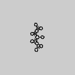 C1=CCC(n2c3ccccc3c3cc4c(cc32)c2ccccc2n4-c2cc(-c3ccccc3)cc(-n3c4ccccc4c4cc5c(cc43)c3ccccc3n5-c3ccccc3)c2)C=C1